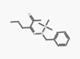 CCCC(=NN(Cc1ccccc1)[Si](C)(C)C)C(C)=O